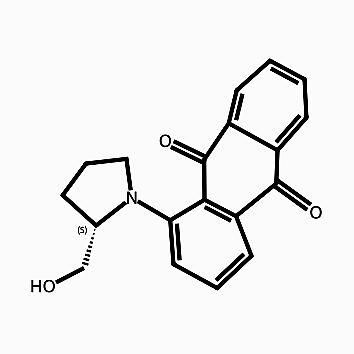 O=C1c2ccccc2C(=O)c2c1cccc2N1CCC[C@H]1CO